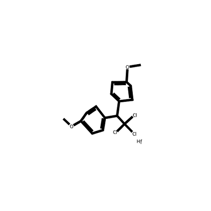 COc1ccc(C(c2ccc(OC)cc2)C(Cl)(Cl)Cl)cc1.[Hf]